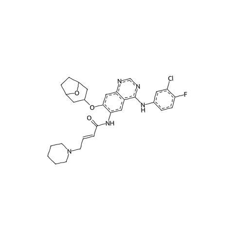 O=C(C=CCN1CCCCC1)Nc1cc2c(Nc3ccc(F)c(Cl)c3)ncnc2cc1OC1CC2CCC(C1)O2